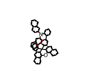 c1ccc(N(c2ccc3ccccc3c2)c2ccc3ccccc3c2)c(-c2ccc3c(c2)-c2ccccc2C32c3ccc4ccccc4c3Oc3c2ccc2ccccc32)c1